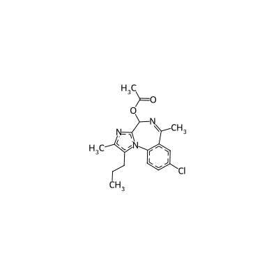 CCCc1c(C)nc2n1-c1ccc(Cl)cc1C(C)=NC2OC(C)=O